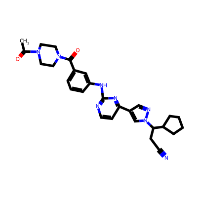 CC(=O)N1CCN(C(=O)c2cccc(Nc3nccc(-c4cnn(C(CC#N)C5CCCC5)c4)n3)c2)CC1